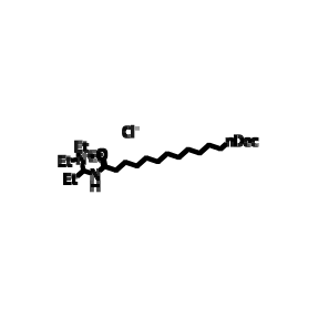 CCCCCCCCCCCCCCCCCCCCCC(=O)NC(CC)[N+](CC)(CC)CC.[Cl-]